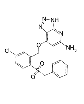 Nc1cc(OCc2cc(Cl)ccc2S(=O)(=O)Cc2ccccc2)c2nn[nH]c2n1